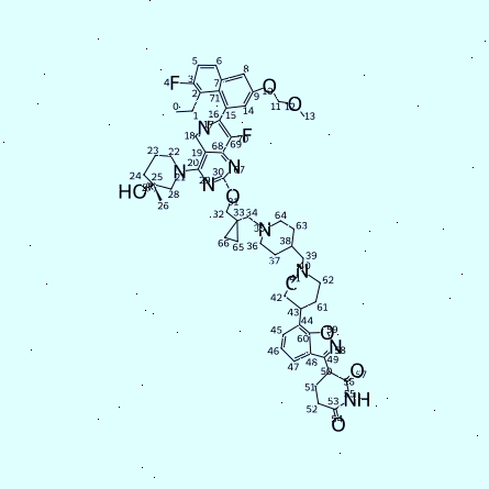 CCc1c(F)ccc2cc(OCOC)cc(-c3ncc4c(N5CCC[C@@](C)(O)C5)nc(OCC5(CN6CCC(CN7CCC(c8cccc9c(C%10CCC(=O)NC%10=O)noc89)CC7)CC6)CC5)nc4c3F)c12